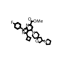 COC(=O)c1cc(N2CCC3(CC2)CC(N2CCCC2)CO3)c2c(C3CCC3)nn(-c3ccc(F)cc3)c2n1